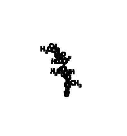 CC1CN(C2COC2)CCN1c1ccc(Nc2cc(-c3cc(F)cc(N4CCn5c(cc6c5CC(C)(C)C6)C4=O)c3CO)cn(C)c2=O)nc1